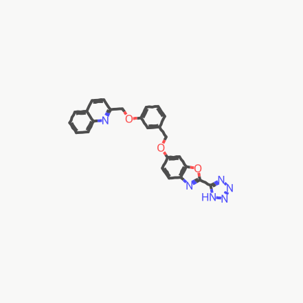 c1cc(COc2ccc3nc(-c4nnn[nH]4)oc3c2)cc(OCc2ccc3ccccc3n2)c1